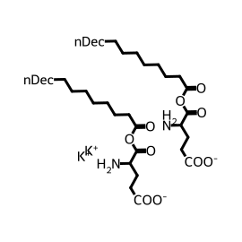 CCCCCCCCCCCCCCCCCC(=O)OC(=O)C(N)CCC(=O)[O-].CCCCCCCCCCCCCCCCCC(=O)OC(=O)C(N)CCC(=O)[O-].[K+].[K+]